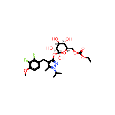 CCOC(=O)OC[C@H]1O[C@@](O)(Oc2nn(C(C)C)c(C)c2Cc2ccc(OC)c(F)c2F)[C@H](O)[C@@H](O)[C@@H]1O